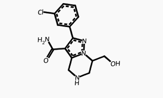 NC(=O)c1c(-c2cccc(Cl)c2)nn2c1CNCC2CO